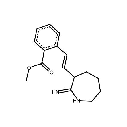 COC(=O)c1ccccc1/C=C/C1CCCCNC1=N